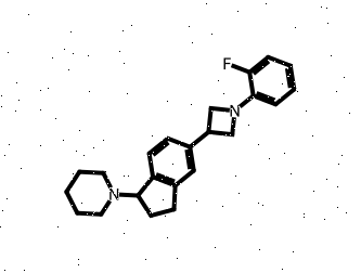 Fc1ccccc1N1CC(c2ccc3c(c2)CCC3N2CCCCC2)C1